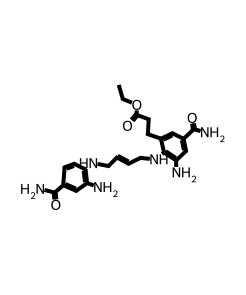 CCOC(=O)CCc1cc(C(N)=O)cc(N)c1NC/C=C/CNc1ccc(C(N)=O)cc1N